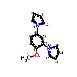 COc1ccc(-n2cccc2)cc1-n1cccc1